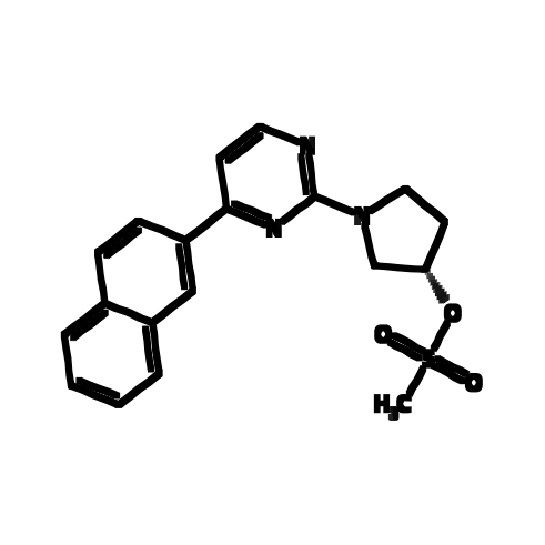 CS(=O)(=O)O[C@H]1CCN(c2nccc(-c3ccc4ccccc4c3)n2)C1